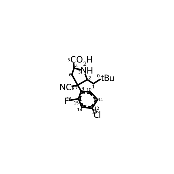 CC(C)(C)CC1NC(C(=O)O)CC1(C#N)c1ccc(Cl)cc1F